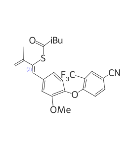 C=C(C)/C(=C/c1ccc(Oc2ccc(C#N)cc2C(F)(F)F)c(OC)c1)SC(=O)C(C)CC